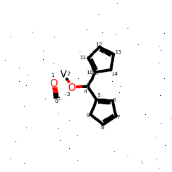 [C]=O.[V][O][C](C1=CC=CC1)C1=CC=CC1